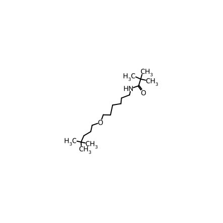 CC(C)(C)CCCOCCCCCCNC(=O)C(C)(C)C